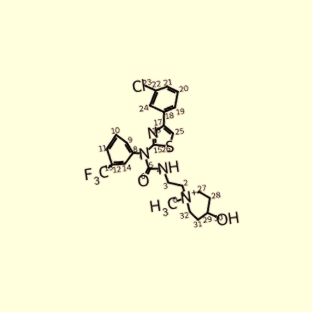 C[N+]1(CCNC(=O)N(c2cccc(C(F)(F)F)c2)c2nc(-c3cccc(Cl)c3)cs2)CCC(O)CC1